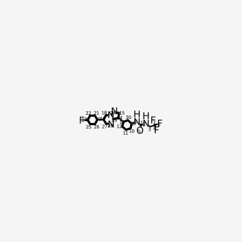 O=C(NCC(F)(F)F)Nc1cccc(-c2cnn3cc(-c4ccc(F)cc4)cnc23)c1